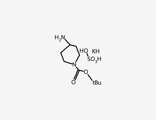 CC(C)(C)OC(=O)N1CCC(N)CC1.O=S(=O)(O)O.[KH]